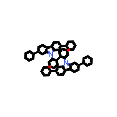 c1ccc(-c2ccc3c4ccc(-c5ccccc5)cc4n(-c4ccccc4-c4ccccc4-n4c5cc(-c6ccccc6)ccc5c5ccc(-c6ccccc6)cc54)c3c2)cc1